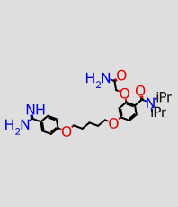 CC(C)N(C(=O)c1ccc(OCCCCCOc2ccc(C(=N)N)cc2)cc1OCC(N)=O)C(C)C